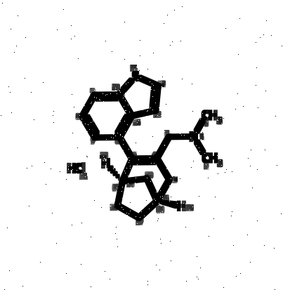 CN(C)CC1=C(c2cccc3sccc23)[C@@H]2CC[C@@H](C1)C2.Cl